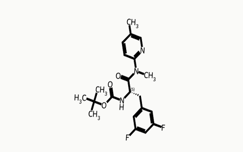 Cc1ccc(N(C)C(=O)[C@H](Cc2cc(F)cc(F)c2)NC(=O)OC(C)(C)C)nc1